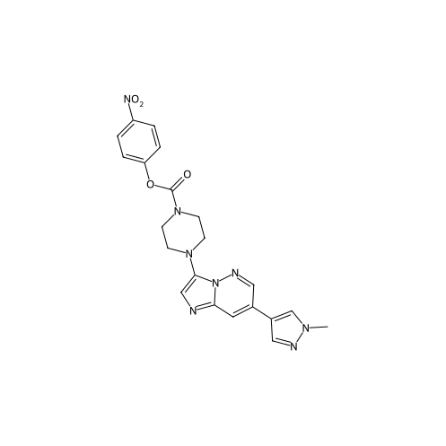 Cn1cc(-c2cnn3c(N4CCN(C(=O)Oc5ccc([N+](=O)[O-])cc5)CC4)cnc3c2)cn1